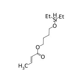 CC=CC(=O)OCCCCO[SiH](CC)CC